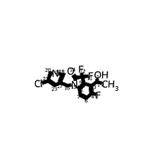 CC(O)c1c(F)ccc2c1C(F)(F)C(=O)N2Cc1cncc(Cl)c1